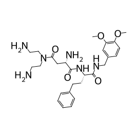 COc1ccc(CNC(=O)[C@H](CCc2ccccc2)NC(=O)[C@@H](N)CC(=O)N(CCN)CCN)cc1OC